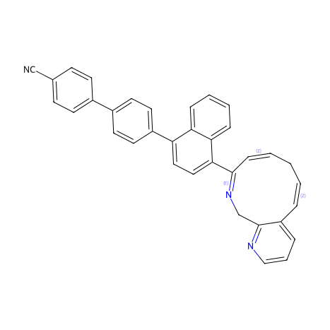 N#Cc1ccc(-c2ccc(-c3ccc(C4=N/Cc5ncccc5/C=C\C/C=C\4)c4ccccc34)cc2)cc1